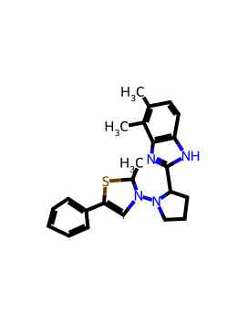 Cc1ccc2[nH]c(C3CCCN3N3[C]=C(c4ccccc4)SC3C)nc2c1C